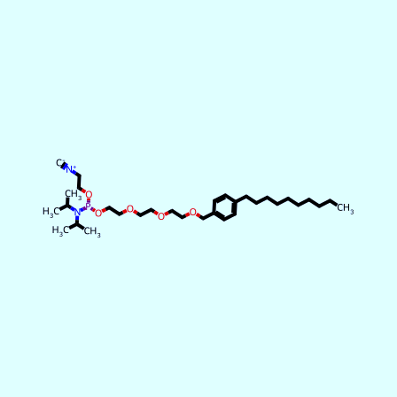 [C-]#[N+]CCOP(OCCOCCOCCOCc1ccc(CCCCCCCCCC)cc1)N(C(C)C)C(C)C